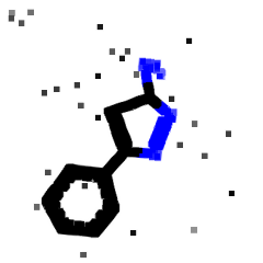 NC1C=C(c2ccccc2)N=N1